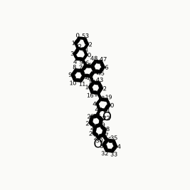 C1=CC2=CC=C(c3c4ccccc4c(-c4ccc(C5=CC=C6Oc7c(ccc8cc9oc%10ccccc%10c9cc78)C6C5)cc4)c4ccccc34)CC2C=C1